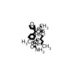 CCCCCNC(=S)NC.Cc1ccc(C(C)c2ccoc2)cc1S(=O)(=O)NC(N)=O